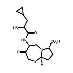 O=C(N[C@H]1CN2[C@@H](C(=O)O)CC[C@H]2SCC1=O)C(S)CC1CC1